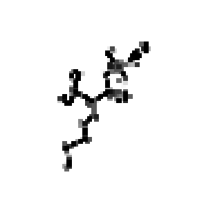 CCCCCC(C(=O)[O-])C(O)C[N+](C)(C)C#N